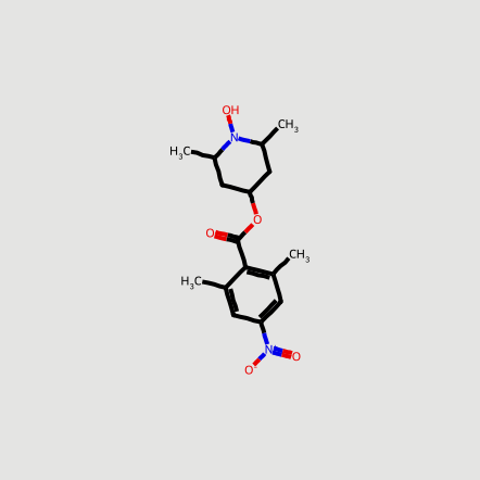 Cc1cc([N+](=O)[O-])cc(C)c1C(=O)OC1CC(C)N(O)C(C)C1